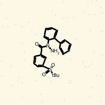 CC(C)(C)S(=O)(=O)c1cccc(C(=O)N(N)c2ccccc2-c2ccccc2)c1